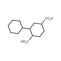 O=C(O)C1CCC(C(=O)O)C(C2CCCCC2)C1